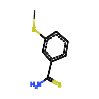 CSc1cccc(C(N)=S)c1